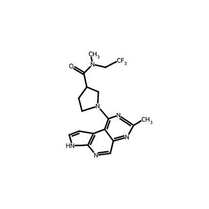 Cc1nc(N2CCC(C(=O)N(C)CC(F)(F)F)C2)c2c(cnc3[nH]ccc32)n1